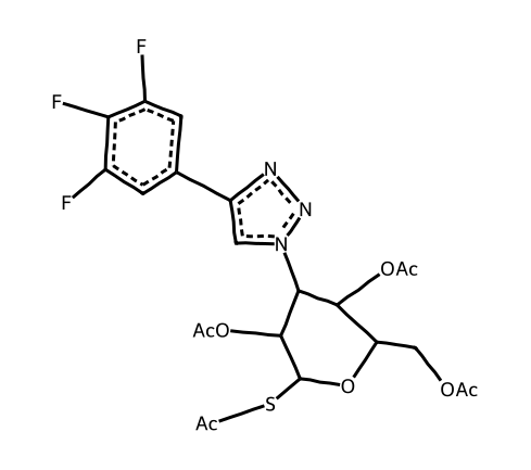 CC(=O)OCC1OC(SC(C)=O)C(OC(C)=O)C(n2cc(-c3cc(F)c(F)c(F)c3)nn2)C1OC(C)=O